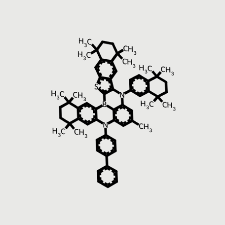 Cc1cc2c3c(c1)N(c1ccc4c(c1)C(C)(C)CCC4(C)C)c1c(sc4cc5c(cc14)C(C)(C)CCC5(C)C)B3c1cc3c(cc1N2c1ccc(-c2ccccc2)cc1)C(C)(C)CCC3(C)C